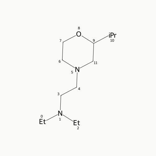 CCN(CC)CCN1CCOC(C(C)C)C1